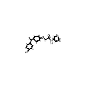 CC(C)c1ccc(C(=O)c2ccc(OCC(=O)Nc3cccnc3)cc2)cc1